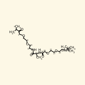 CC(C)C(=O)COCCOCCNC(=O)C(C)NC(=O)COCCOCCNC(C)(C)C